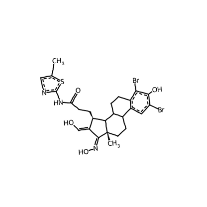 Cc1cnc(NC(=O)CC[C@@H]2C(=C\O)/C(=N\O)[C@@]3(C)CCC4c5cc(Br)c(O)c(Br)c5CCC4C23)s1